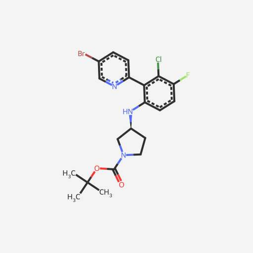 CC(C)(C)OC(=O)N1CC[C@H](Nc2ccc(F)c(Cl)c2-c2ccc(Br)cn2)C1